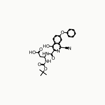 CC(C)(C)OC(=O)NC(CC(=O)O)NC(=O)c1nc(C#N)c2cc(Oc3ccccc3)ccc2c1O